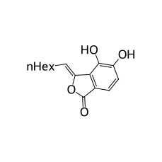 CCCCCCC=C1OC(=O)c2ccc(O)c(O)c21